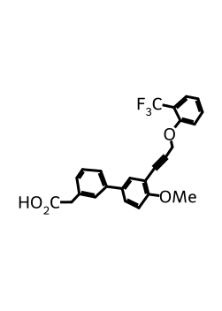 COc1ccc(-c2cccc(CC(=O)O)c2)cc1C#CCOc1ccccc1C(F)(F)F